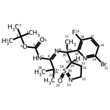 CC(C)(C)OC(=O)NC1=N[C@](C)(c2nc(Br)ccc2F)[C@@H]2CCN=[S@]2(=O)C1(C)C